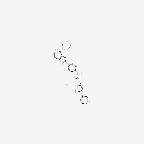 Cn1nc(-c2cccnc2)cc1NC(=O)Nc1ccc(-c2cc3c(N4CCOCC4)nccc3[nH]2)cc1